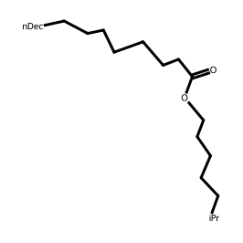 CCCCCCCCCCCCCCCCCC(=O)OCCCCCC(C)C